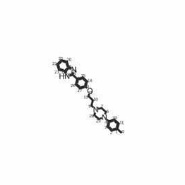 Cc1ccc(N2CCN(CCCOc3ccc(-c4nc5ccccc5[nH]4)cc3)CC2)cc1